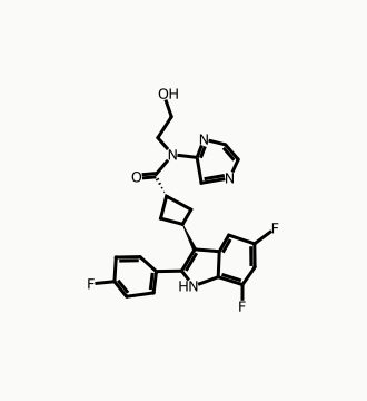 O=C([C@H]1C[C@H](c2c(-c3ccc(F)cc3)[nH]c3c(F)cc(F)cc32)C1)N(CCO)c1cnccn1